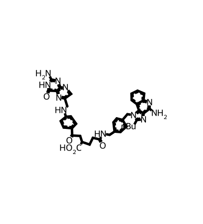 CCCCc1nc2c(N)nc3ccccc3c2n1Cc1ccc(CNC(=O)CCC(CC(=O)c2ccc(NCc3cnc4nc(N)[nH]c(=O)c4n3)cc2)C(=O)O)cc1